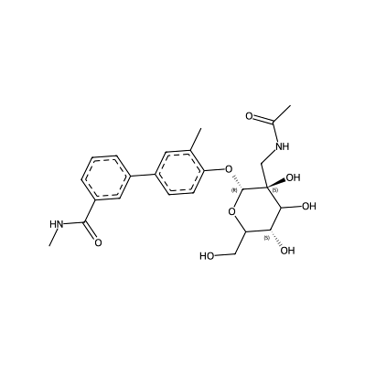 CNC(=O)c1cccc(-c2ccc(O[C@H]3OC(CO)[C@@H](O)C(O)[C@@]3(O)CNC(C)=O)c(C)c2)c1